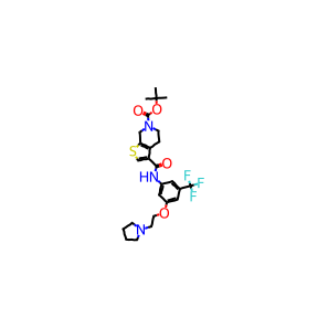 CC(C)(C)OC(=O)N1CCc2c(C(=O)Nc3cc(OCCN4CCCC4)cc(C(F)(F)F)c3)csc2C1